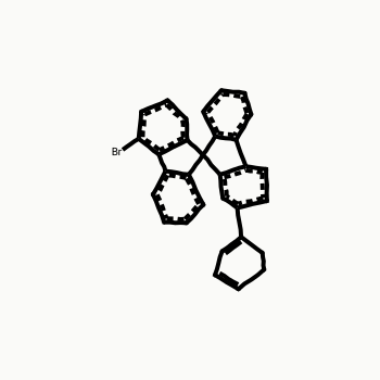 Brc1cccc2c1-c1ccccc1C21c2ccccc2-c2ccc(C3=CC=CCC3)cc21